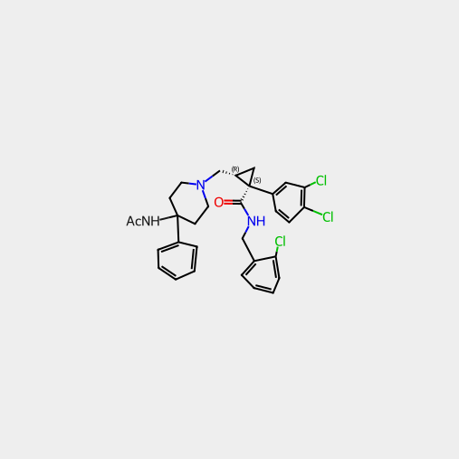 CC(=O)NC1(c2ccccc2)CCN(C[C@@H]2C[C@@]2(C(=O)NCc2ccccc2Cl)c2ccc(Cl)c(Cl)c2)CC1